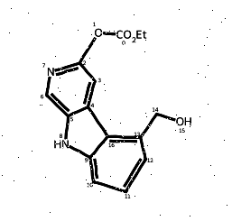 CCOC(=O)Oc1cc2c(cn1)[nH]c1cccc(CO)c12